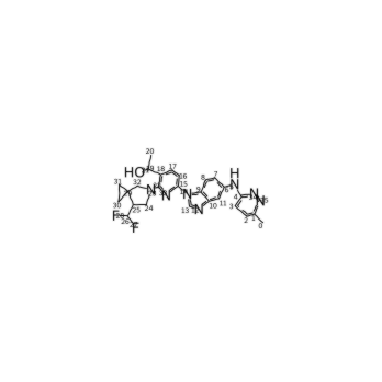 Cc1ccc(Nc2ccc3c(c2)ncn3-c2ccc(C(C)O)c(N3CC(C(F)F)C4(CC4)C3)n2)nn1